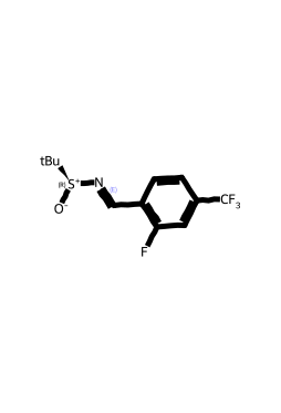 CC(C)(C)[S@+]([O-])/N=C/c1ccc(C(F)(F)F)cc1F